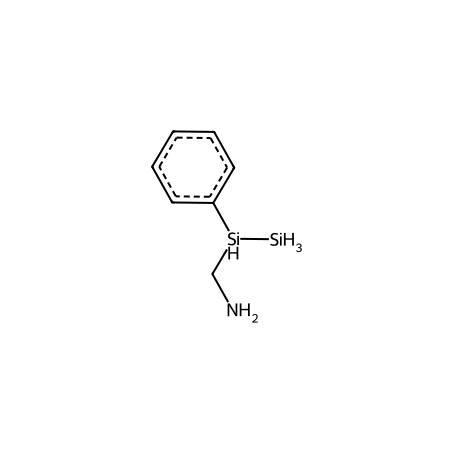 NC[SiH]([SiH3])c1ccccc1